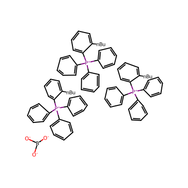 CCCCc1ccccc1[P+](c1ccccc1)(c1ccccc1)c1ccccc1.CCCCc1ccccc1[P+](c1ccccc1)(c1ccccc1)c1ccccc1.CCCCc1ccccc1[P+](c1ccccc1)(c1ccccc1)c1ccccc1.[O-]B([O-])[O-]